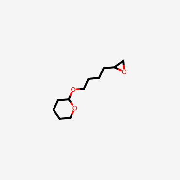 C(CCC1CO1)COC1CCCCO1